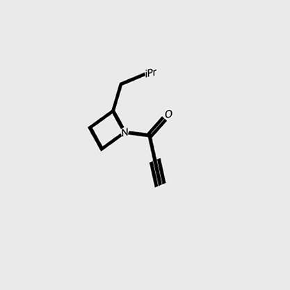 C#CC(=O)N1CCC1CC(C)C